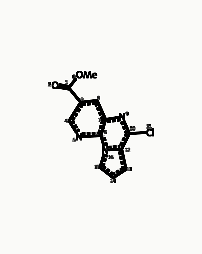 COC(=O)c1cnc2c(c1)nc(Cl)c1cccn12